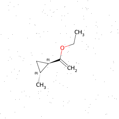 C=C(OCC)[C@@H]1C[C@H]1C